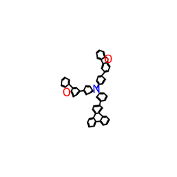 c1cc(-c2ccc3c4ccccc4c4ccccc4c3c2)cc(N(c2ccc(-c3ccc4oc5ccccc5c4c3)cc2)c2ccc(-c3ccc4oc5ccccc5c4c3)cc2)c1